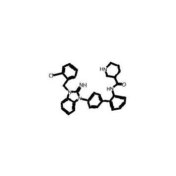 N=c1n(Cc2ccccc2Cl)c2ccccc2n1-c1ccc(-c2ccccc2NC(=O)C2CCCNC2)cc1